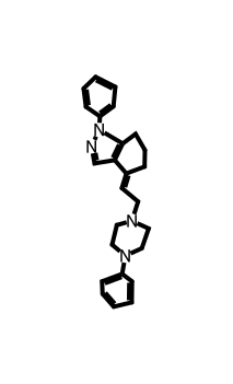 C(CN1CCN(c2ccccc2)CC1)=C1CCCc2c1cnn2-c1ccccc1